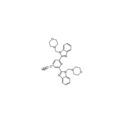 [Cl-].[Cl-].[Cl-].[Nd+3].c1cc(-c2nc3ccccc3n2CN2CCOCC2)nc(-c2nc3ccccc3n2CN2CCOCC2)c1